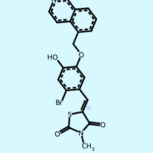 CN1C(=O)S/C(=C\c2cc(OCc3cccc4cnccc34)c(O)cc2Br)C1=O